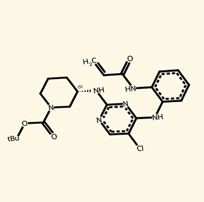 C=CC(=O)Nc1ccccc1Nc1nc(N[C@H]2CCCN(C(=O)OC(C)(C)C)C2)ncc1Cl